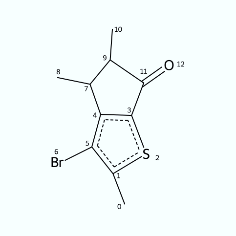 Cc1sc2c(c1Br)C(C)C(C)C2=O